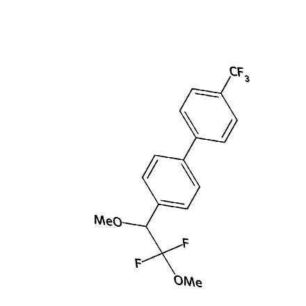 COC(c1ccc(-c2ccc(C(F)(F)F)cc2)cc1)C(F)(F)OC